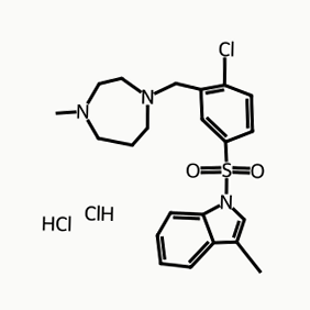 Cc1cn(S(=O)(=O)c2ccc(Cl)c(CN3CCCN(C)CC3)c2)c2ccccc12.Cl.Cl